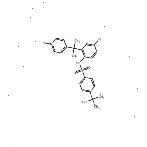 CC(C)(C)c1ccc(S(=O)(=O)Nc2ccc(Cl)cc2C(C)(C)c2cc[n+]([O-])cc2)cc1